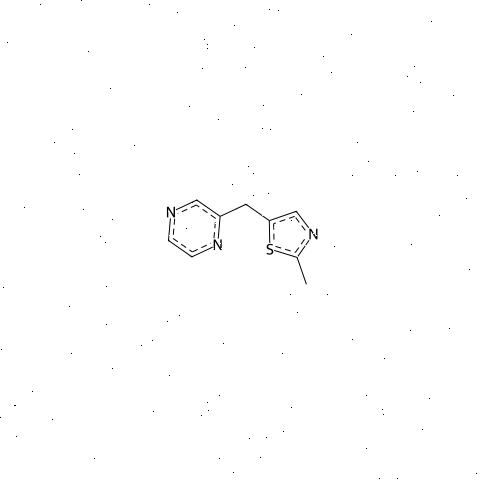 Cc1ncc(Cc2cnccn2)s1